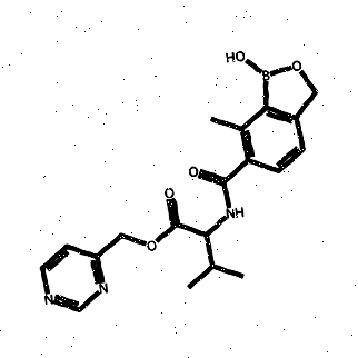 Cc1c(C(=O)NC(C(=O)OCc2ccncn2)C(C)C)ccc2c1B(O)OC2